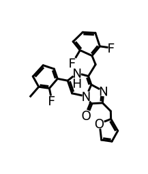 Cc1cccc(-c2cn3c(=O)c(Cc4ccco4)nc-3c(Cc3c(F)cccc3F)[nH]2)c1F